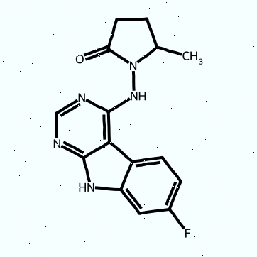 CC1CCC(=O)N1Nc1ncnc2[nH]c3cc(F)ccc3c12